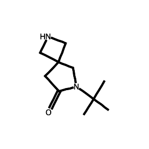 CC(C)(C)N1CC2(CNC2)CC1=O